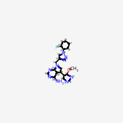 COc1ncncc1-c1cn(Cc2cn(-c3ccccc3F)nn2)c2ncnc(N)c12